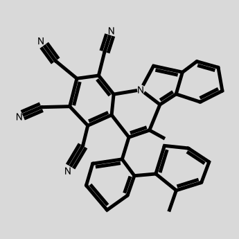 Cc1ccccc1-c1ccccc1-c1c(C)c2c3ccccc3cn2c2c(C#N)c(C#N)c(C#N)c(C#N)c12